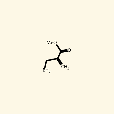 BCC(=C)C(=O)OC